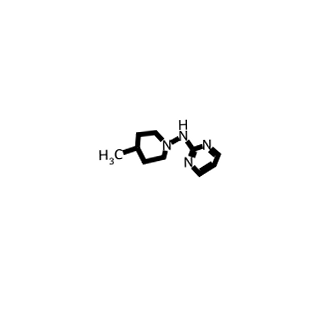 CC1CCN(Nc2ncccn2)CC1